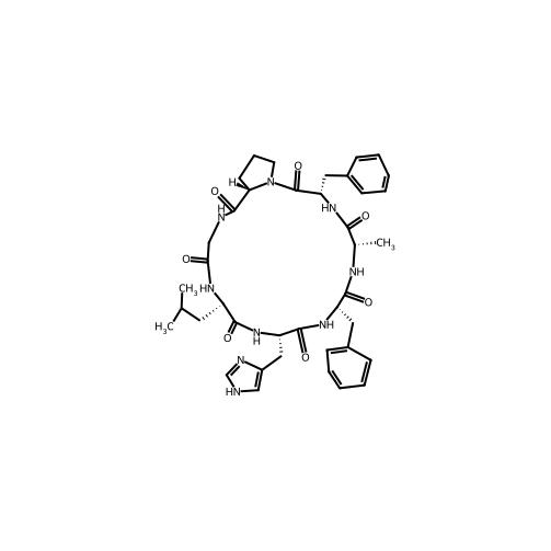 CC(C)C[C@@H]1NC(=O)CNC(=O)[C@@H]2CCCN2C(=O)[C@H](Cc2ccccc2)NC(=O)[C@H](C)NC(=O)[C@H](Cc2ccccc2)NC(=O)[C@H](Cc2c[nH]cn2)NC1=O